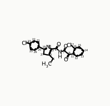 CCC1=C(C(=O)NC(=O)C(=O)c2ccccc2Cl)N=C(c2ccc(Cl)cc2)C1